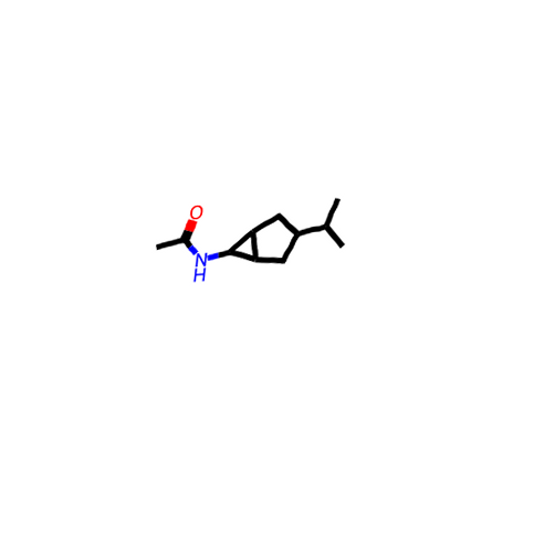 CC(=O)NC1C2CC(C(C)C)CC21